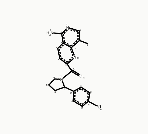 Cc1cnc(N)c2ccc(C(=O)N3CCCC3c3ccc(Cl)cc3)nc12